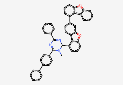 CN1C(c2ccc(-c3ccccc3)cc2)=NC(c2ccccc2)=NC1c1cccc2oc3cc(-c4cccc5oc6ccccc6c45)ccc3c12